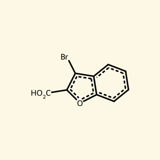 O=C(O)c1oc2ccccc2c1Br